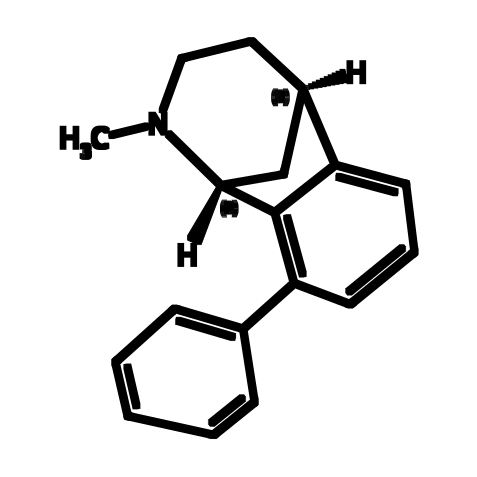 CN1CC[C@@H]2C[C@@H]1c1c(-c3ccccc3)cccc12